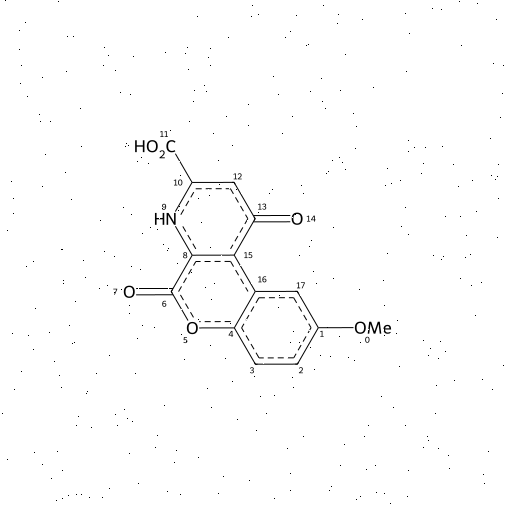 COc1ccc2oc(=O)c3[nH]c(C(=O)O)cc(=O)c3c2c1